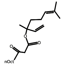 C=CC(C)(CCC=C(C)C)OC(=O)CC(=O)CCCCCCCC